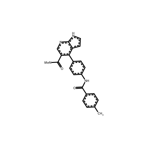 CNC(=O)c1cnc2[nH]ccc2c1-c1ccc(NC(=O)c2ccc(C)cc2)cc1